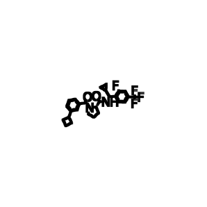 O=C(NC(c1ccc(C(F)(F)F)cc1F)C1CC1)[C@H]1CCCN1C(=O)c1cccc(C2CCC2)c1